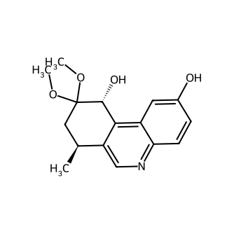 COC1(OC)C[C@H](C)c2cnc3ccc(O)cc3c2[C@H]1O